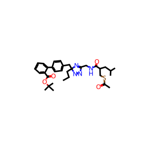 CCCC1(Cc2ccc(-c3ccccc3C(=O)OC(C)(C)C)cc2)N=NC(CNC(=O)C(CSC(C)=O)CC(C)C)=N1